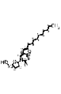 CCCCCCCCCCc1cc2cn([C@@H]3CC[C@H](CO)O3)c(=O)nc2o1